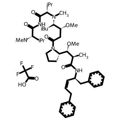 CC[C@H](C)[C@@H]([C@@H](CC(=O)N1CCC[C@H]1[C@H](OC)[C@@H](C)C(=O)N[C@H](/C=C\Cc1ccccc1)Cc1ccccc1)OC)N(C)[C@H](C(=O)NC(=O)[C@@H](NC)C(C)C)C(C)C.O=C(O)C(F)(F)F